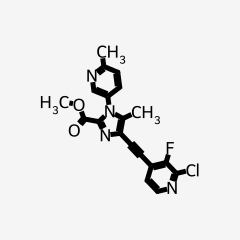 COC(=O)c1nc(C#Cc2ccnc(Cl)c2F)c(C)n1-c1ccc(C)nc1